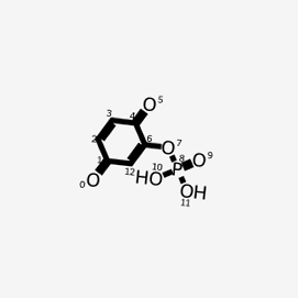 O=C1C=CC(=O)C(OP(=O)(O)O)=C1